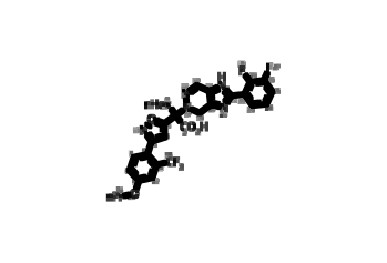 CCCCCCC(C(=O)O)(c1cc(-c2ccc(OCCC)cc2C(F)(F)F)no1)N1Cc2nc(-c3cccc(F)c3F)[nH]c2C=N1